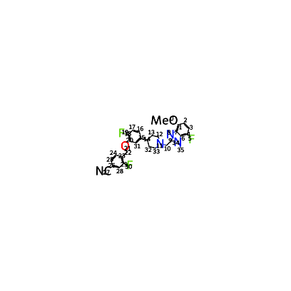 COc1ccc(F)c2c1nc(CN1CCC(c3ccc(F)c(OCc4ccc(C#N)cc4F)c3)CC1)n2C